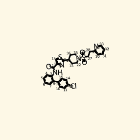 O=C(Nc1ccccc1-c1ccc(Cl)cc1)c1csc(C2CCN(S(=O)(=O)CCc3ccccn3)CC2)n1